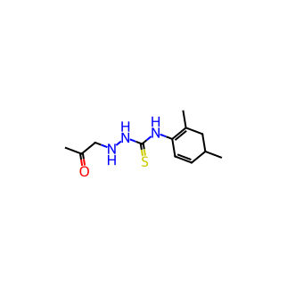 CC(=O)CNNC(=S)NC1=C(C)CC(C)C=C1